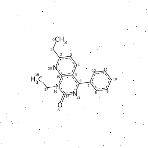 CCc1ccc2c(-c3ccccc3)nc(=O)n(CC)c2n1